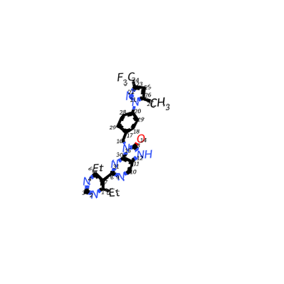 CCc1ncnc(CC)c1-c1ncc2[nH]c(=O)n(Cc3ccc(-n4nc(C(F)(F)F)cc4C)cc3)c2n1